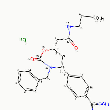 Cl.N=C(N)c1ccc([C@H]2C[C@@H](CC(=O)NCCC(=O)O)OC(=O)N2Cc2ccccc2)cc1